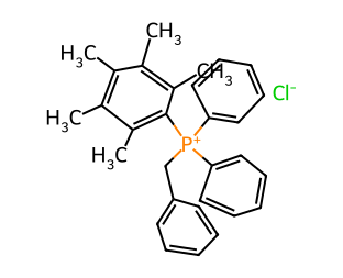 Cc1c(C)c(C)c([P+](Cc2ccccc2)(c2ccccc2)c2ccccc2)c(C)c1C.[Cl-]